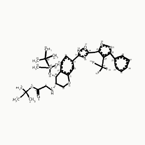 CC(C)(C)OC(=O)CN[C@H]1COc2cc(-c3noc(-c4onc(-c5ccccc5)c4C(F)(F)F)n3)ccc2[C@H]1O[Si](C)(C)C(C)(C)C